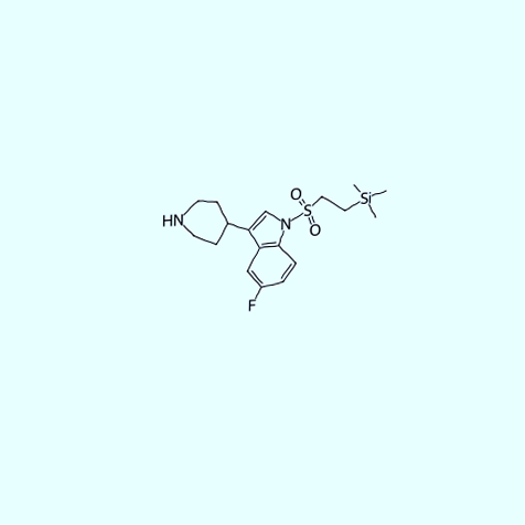 C[Si](C)(C)CCS(=O)(=O)n1cc(C2CCNCC2)c2cc(F)ccc21